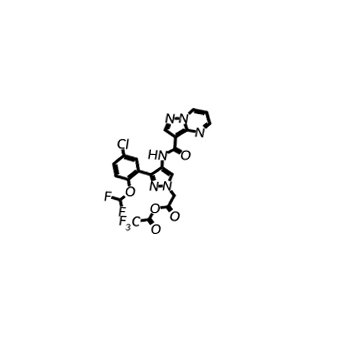 O=C(Cn1cc(NC(=O)c2cnn3cccnc23)c(-c2cc(Cl)ccc2OC(F)F)n1)OC(=O)C(F)(F)F